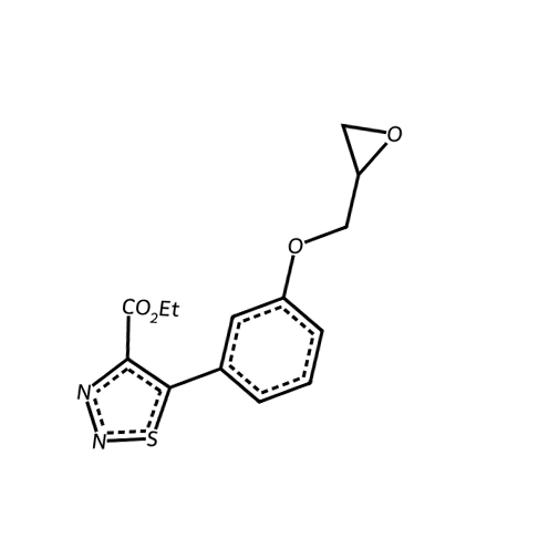 CCOC(=O)c1nnsc1-c1cccc(OCC2CO2)c1